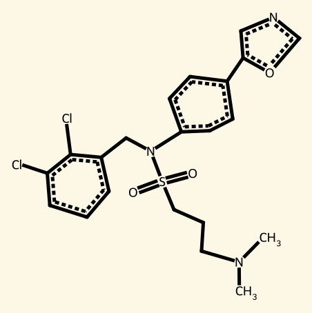 CN(C)CCCS(=O)(=O)N(Cc1cccc(Cl)c1Cl)c1ccc(-c2cnco2)cc1